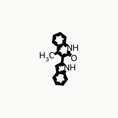 Cc1c(-c2cc3ccccc3[nH]2)c(=O)[nH]c2ccccc12